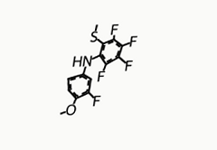 COc1ccc(Nc2c(F)c(F)c(F)c(F)c2SC)cc1F